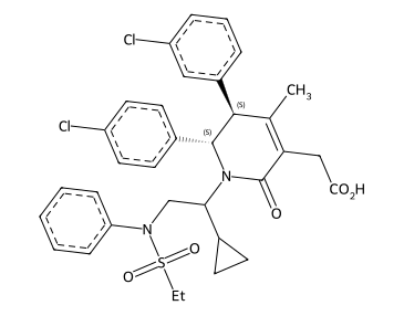 CCS(=O)(=O)N(CC(C1CC1)N1C(=O)C(CC(=O)O)=C(C)[C@H](c2cccc(Cl)c2)[C@H]1c1ccc(Cl)cc1)c1ccccc1